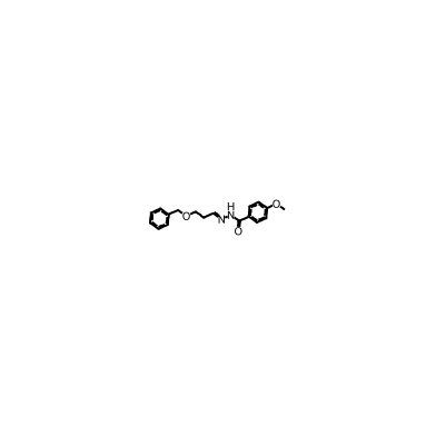 COc1ccc(C(=O)NN=CCCOCc2ccccc2)cc1